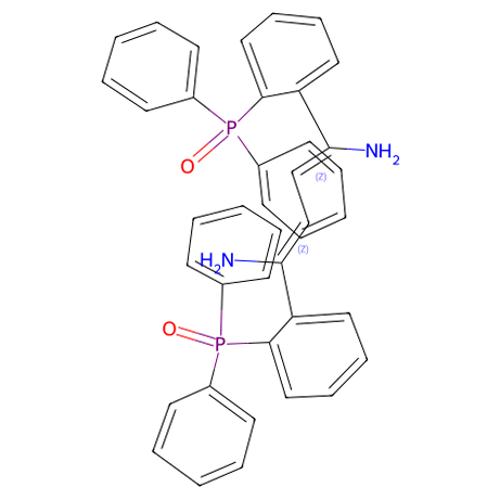 N/C(=C\C=C(/N)c1ccccc1P(=O)(c1ccccc1)c1ccccc1)c1ccccc1P(=O)(c1ccccc1)c1ccccc1